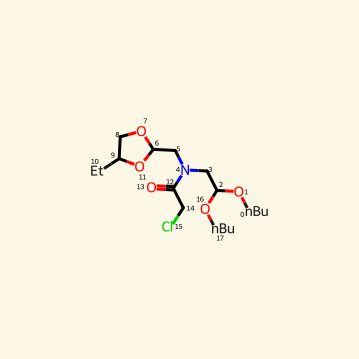 CCCCOC(CN(CC1OCC(CC)O1)C(=O)CCl)OCCCC